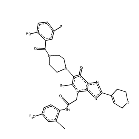 CCc1c(N2CCN(C(=O)c3cc(F)ccc3O)CC2)c(=O)n2nc(C3=CCOCC3)nc2n1CC(=O)Nc1ccc(C(F)(F)F)cc1C